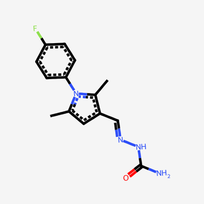 Cc1cc(/C=N/NC(N)=O)c(C)n1-c1ccc(F)cc1